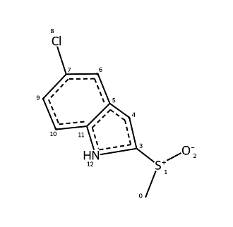 C[S+]([O-])c1cc2cc(Cl)ccc2[nH]1